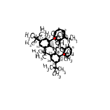 CN1c2ccccc2B(N2c3c(C(C)(C)C)cc(C(C)(C)C)cc3C(C)(C)c3cc(C(C)(C)C)cc(C(C)(C)C)c32)c2ccccc21